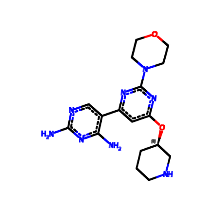 Nc1ncc(-c2cc(O[C@@H]3CCCNC3)nc(N3CCOCC3)n2)c(N)n1